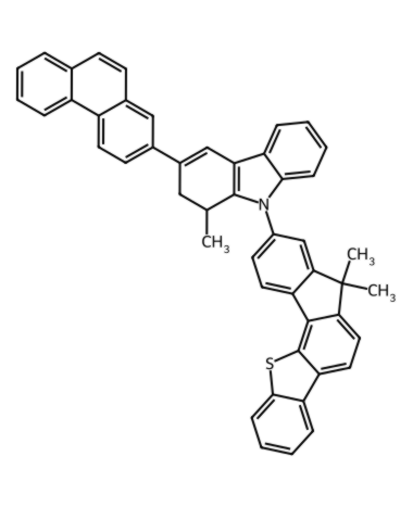 CC1CC(c2ccc3c(ccc4ccccc43)c2)=Cc2c1n(-c1ccc3c(c1)C(C)(C)c1ccc4c(sc5ccccc54)c1-3)c1ccccc21